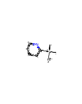 CCC[Si](C)(C)c1ccccn1